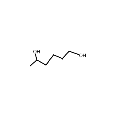 CC(O)CC[CH]CO